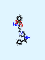 O=C(CCCN1CCC(N[C@@H]2CC2c2ccccc2)CC1)NS(=O)(=O)c1ccccc1